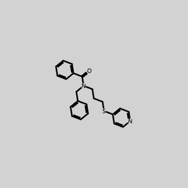 O=C(c1ccccc1)N(CCCSc1ccncc1)Cc1ccccc1